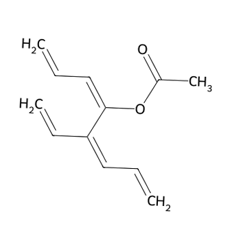 C=C/C=C(C=C)\C(=C/C=C)OC(C)=O